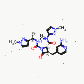 CC[C@@H](NC(=O)N1C(=O)[C@H](Cc2ccnc(N)c2)[C@H]1C(=O)N(C)c1ccn(C)n1)c1ccn(C)n1